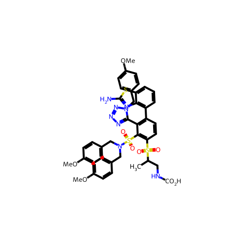 COc1ccc(CN(Cc2ccc(OC)cc2)S(=O)(=O)c2c(S(=O)(=O)C(C)CNC(=O)O)ccc(-c3cccc4sc(N)nc34)c2-c2nnnn2Cc2ccc(OC)cc2)cc1